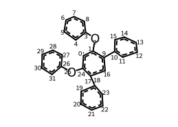 [c]1c(Oc2ccccc2)c(-c2ccccc2)cc(-c2ccccc2)c1Oc1ccccc1